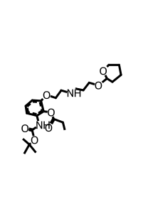 CCC(=O)Oc1c(NC(=O)OC(C)(C)C)cccc1OCCNCCCOC1CCCCO1